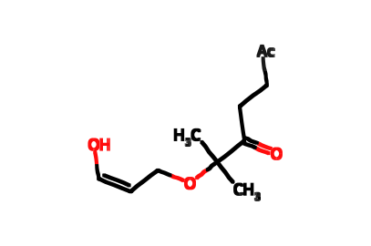 CC(=O)CCC(=O)C(C)(C)OC/C=C\O